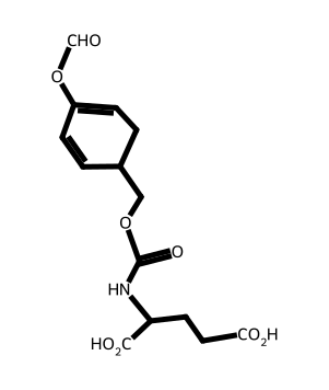 O=COC1=CCC(COC(=O)NC(CCC(=O)O)C(=O)O)C=C1